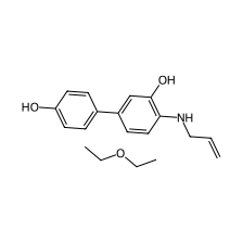 C=CCNc1ccc(-c2ccc(O)cc2)cc1O.CCOCC